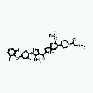 Cc1cc(Oc2c(F)cccc2F)ncc1-n1ncc(C(=O)c2cc3cc(OC(F)F)c(C4CCN(C(=O)CN)CC4)cc3[nH]2)c1N